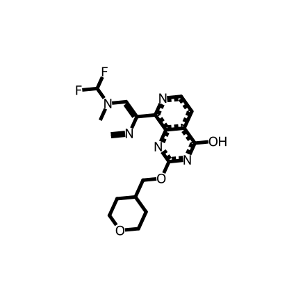 C=N/C(=C\N(C)C(F)F)c1nccc2c(O)nc(OCC3CCOCC3)nc12